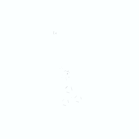 Cc1ccc([S+](c2ccc(C)cc2)c2ccc(C)cc2)cc1.O=C(OCCCCCCCCCCBr)C(F)(F)S(=O)(=O)[O-]